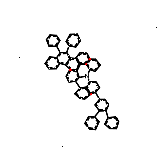 c1ccc(-c2ccc(-c3ccc(N(c4ccccc4-c4ccc5c(c4)c(-c4ccccc4)c(-c4ccccc4)c4ccccc45)c4c(-c5ccccc5)cccc4-c4ccccc4)cc3)cc2-c2ccccc2)cc1